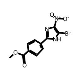 COC(=O)c1ccc(-c2nc([N+](=O)[O-])c(Br)[nH]2)cc1